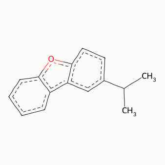 CC(C)c1ccc2oc3ccccc3c2c1